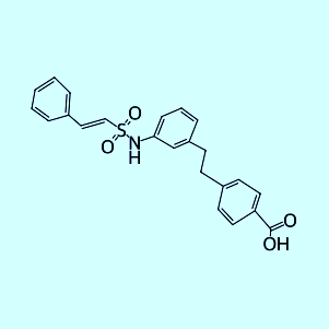 O=C(O)c1ccc(CCc2cccc(NS(=O)(=O)/C=C/c3ccccc3)c2)cc1